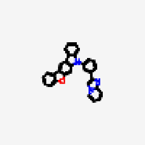 c1cc(-c2cn3ccccc3n2)cc(-n2c3ccccc3c3cc4c(cc32)oc2ccccc24)c1